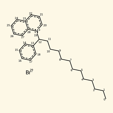 CCCCCCCCCCCCC(c1ccccc1)[n+]1cccc2ccccc21.[Br-]